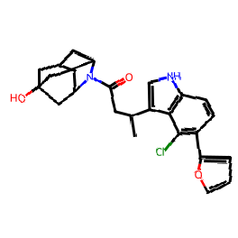 CC(CC(=O)N1C2CC3CC1CC(O)(C3)C2)c1c[nH]c2ccc(-c3ccco3)c(Cl)c12